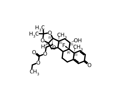 CCOC(=O)OCC(=O)[C@@]12OC(C)(C)O[C@@H]1CC1C3CCC4=CC(=O)C=C[C@]4(C)[C@@]3(F)[C@@H](O)C[C@@]12C